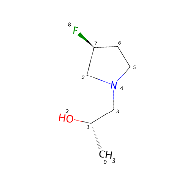 C[C@H](O)CN1CC[C@H](F)C1